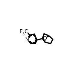 FC(F)(F)c1cc(C2CC3CCC2O3)ccn1